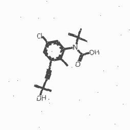 Cc1c(C#CC(C)(C)O)cc(Cl)cc1N(C(=O)O)C(C)(C)C